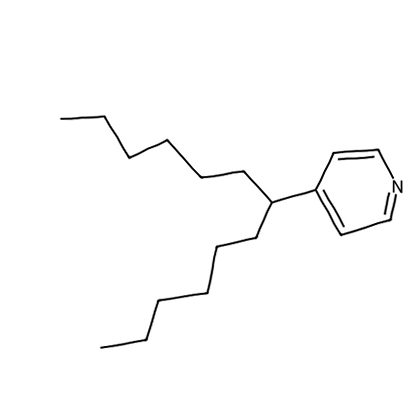 CCCCCCC(CCCCCC)c1ccncc1